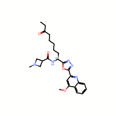 CCC(=O)CCCCC[C@H](NC(=O)C1CN(C)C1)c1nnc(-c2cc(OC)c3ccccc3n2)o1